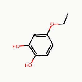 CCOc1ccc(O)c(O)c1